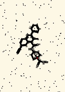 C#Cc1ccc2nc(-c3ccccc3)c(C)c(C(=O)NC34CCC(C(=O)OC)(CC3)CC4)c2c1